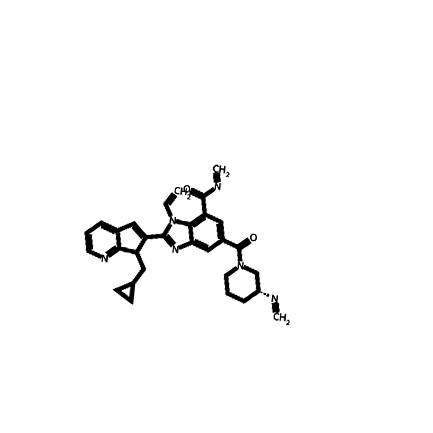 C=Cn1c(C2=Cc3cccnc3C2CC2CC2)nc2cc(C(=O)N3CCC[C@@H](N=C)C3)cc(C(=O)N=C)c21